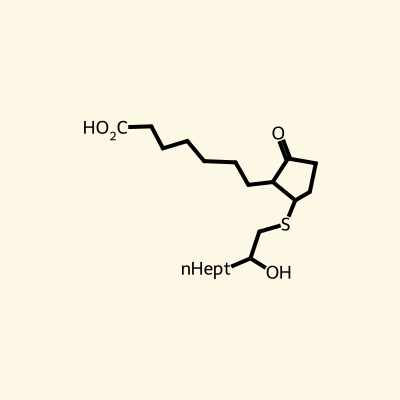 CCCCCCCC(O)CSC1CCC(=O)C1CCCCCCC(=O)O